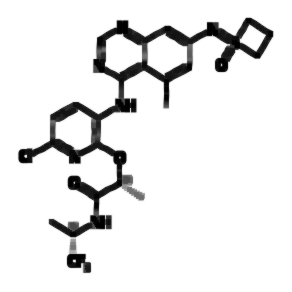 Cc1cc(N=S2(=O)CCC2)cc2ncnc(Nc3ccc(Cl)nc3O[C@H](C)C(=O)N[C@@H](C)C(F)(F)F)c12